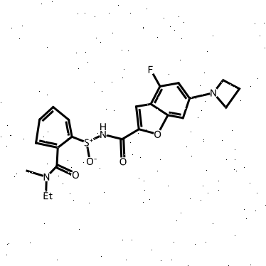 CCN(C)C(=O)c1ccccc1[S+]([O-])NC(=O)c1cc2c(F)cc(N3CCC3)cc2o1